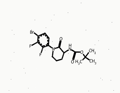 CC(C)(C)OC(=O)NC1CCCN(c2ccc(Br)c(F)c2F)C1=O